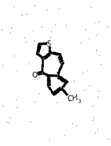 Cc1ccc2c(=O)c3ccsc3ccc2c1